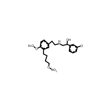 CC(=O)OOc1ccc(CCNCC(O)c2cccc(Cl)c2)cc1CCCCO[N+](=O)[O-]